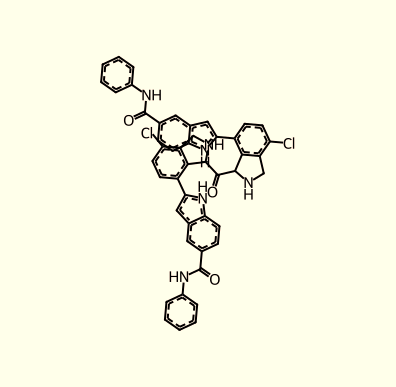 O=C(Nc1ccccc1)c1ccc2[nH]c(-c3ccc(Cl)c4c3C(C(=O)C3NCc5c(Cl)ccc(-c6cc7cc(C(=O)Nc8ccccc8)ccc7[nH]6)c53)NC4)cc2c1